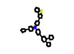 c1ccc(-c2ccc(N(c3ccc(-c4ccc(-c5ccccc5)c(-c5ccccc5)c4)cc3)c3ccc(-c4ccc5sc6ccccc6c5c4)cc3)cc2)cc1